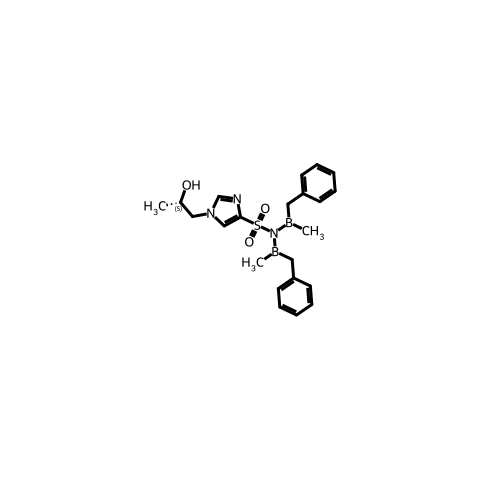 CB(Cc1ccccc1)N(B(C)Cc1ccccc1)S(=O)(=O)c1cn(C[C@H](C)O)cn1